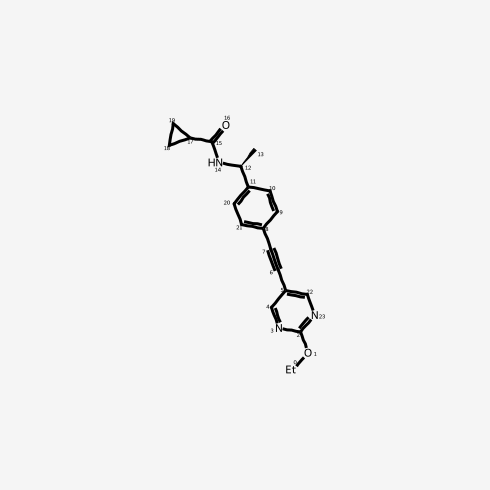 CCOc1ncc(C#Cc2ccc([C@H](C)NC(=O)C3CC3)cc2)cn1